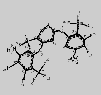 Nc1cc(Oc2ccc(C(F)(F)F)c(Oc3cc(N)c(F)c(F)c3C(F)(F)F)c2)c(C(F)(F)F)c(F)c1F